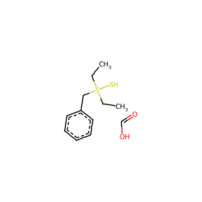 CCS(S)(CC)Cc1ccccc1.O=CO